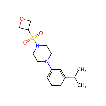 CC(C)c1cccc(N2CCN(S(=O)(=O)C3COC3)CC2)c1